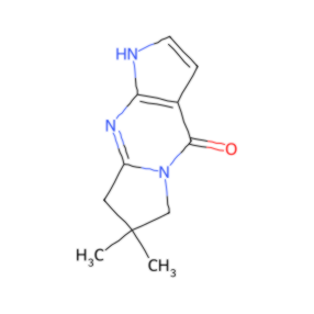 CC1(C)Cc2nc3[nH]ccc3c(=O)n2C1